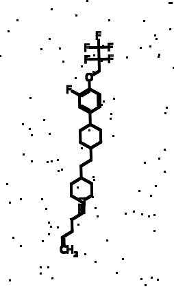 C=CCCC[SiH]1CCC(CCC2CCC(c3ccc(OCC(F)(F)C(F)(F)F)c(F)c3)CC2)CC1